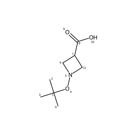 CC(C)(C)ON1CC(C(=O)O)C1